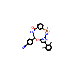 Cc1cccc(C)c1-c1cc2nc(n1)NS(=O)(=O)c1cccc(c1)C(=O)NCC(c1ccc(C#N)cc1)O2